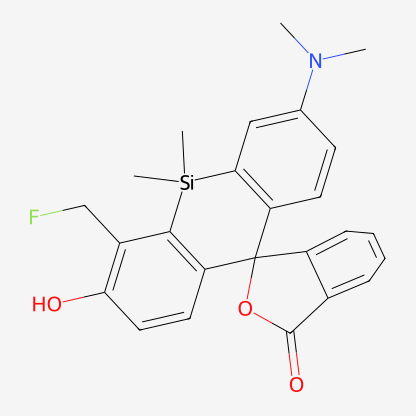 CN(C)c1ccc2c(c1)[Si](C)(C)c1c(ccc(O)c1CF)C21OC(=O)c2ccccc21